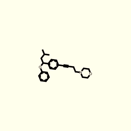 C[C](C)CC(Oc1ccccc1)c1ccc(C#CCCN2CCOCC2)cc1